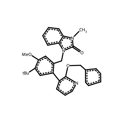 COc1cc(Cn2c(=O)n(C)c3ccccc32)c(-c2cccnc2OCc2ccccc2)cc1C(C)(C)C